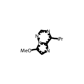 COc1cnc2c(C(C)C)ncnn12